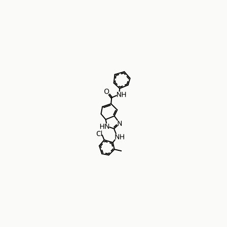 Cc1cccc(Cl)c1NC1=NC2=CC(C(=O)Nc3ccccc3)=CCC2N1